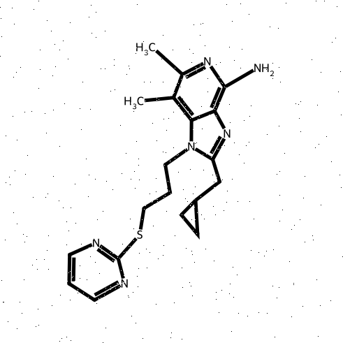 Cc1nc(N)c2nc(CC3CC3)n(CCCSc3ncccn3)c2c1C